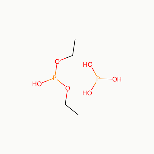 CCOP(O)OCC.OP(O)O